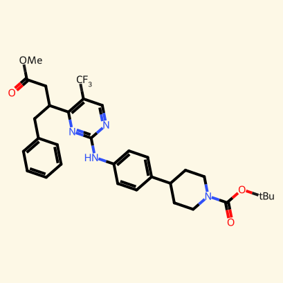 COC(=O)CC(Cc1ccccc1)c1nc(Nc2ccc(C3CCN(C(=O)OC(C)(C)C)CC3)cc2)ncc1C(F)(F)F